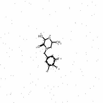 CC1CN(Cc2cc(F)c(F)c(F)c2)C(=O)C(O)O1